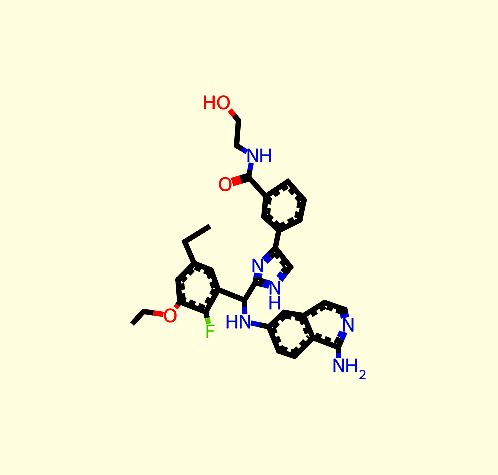 CCOc1cc(CC)cc(C(Nc2ccc3c(N)nccc3c2)c2nc(-c3cccc(C(=O)NCCO)c3)c[nH]2)c1F